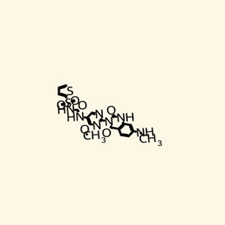 CNc1ccc2c(=O)n(-c3ncc(NC(=O)NS(=O)(=O)c4cccs4)c(OC)n3)c(=O)[nH]c2c1